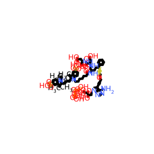 CC[N+]1=C(/C=C/C=C2/N(CCCCCCC(=O)NC(CCC(SSCOCC#Cc3cn(C4CC(O)C(COP(=O)(O)OP(=O)(O)OP(=O)(O)O)O4)c4ncnc(N)c34)c3ccccc3)C(=O)NC(CC(=O)O)C(=O)NC(CC(=O)O)C(=O)O)c3ccc(S(=O)(=O)O)cc3C2(C)C)C(C)(C)c2cc(S(=O)(=O)O)ccc21